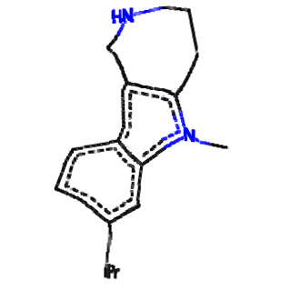 CC(C)c1ccc2c3c(n(C)c2c1)CCNC3